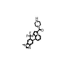 Cn1cnc2cc(-c3cccn4c(C(=O)N5CCNCC5)ccc34)c(C(F)(F)F)cc21